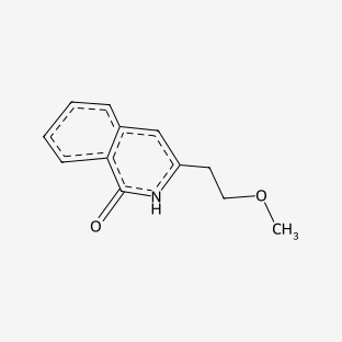 COCCc1cc2ccccc2c(=O)[nH]1